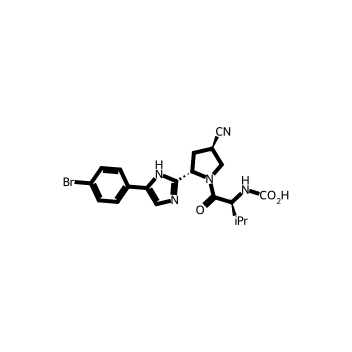 CC(C)[C@H](NC(=O)O)C(=O)N1C[C@H](C#N)C[C@H]1c1ncc(-c2ccc(Br)cc2)[nH]1